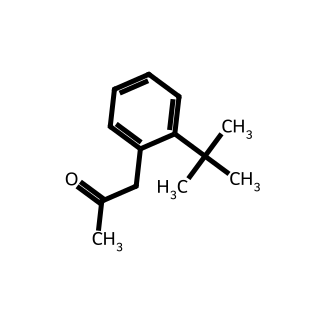 CC(=O)Cc1ccccc1C(C)(C)C